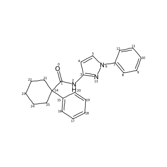 O=C(Nc1ccn(-c2ccccc2)n1)C1(c2ccccc2)CCCCC1